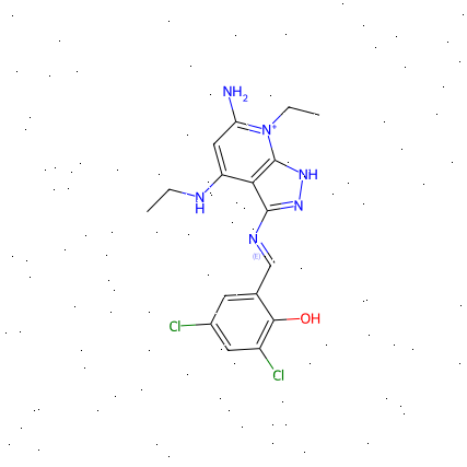 CCNc1cc(N)[n+](CC)c2[nH]nc(/N=C/c3cc(Cl)cc(Cl)c3O)c12